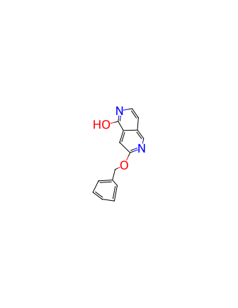 Oc1nccc2cnc(OCc3ccccc3)cc12